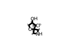 Cl.OC1COC2(CNC2)C1